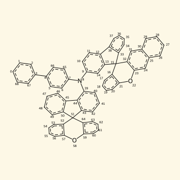 c1ccc(-c2ccc(N(c3ccc4c(c3)C3(c5ccccc5Oc5cc6ccccc6cc53)c3ccccc3-4)c3cccc4c3-c3ccccc3C43c4ccccc4Oc4ccccc43)cc2)cc1